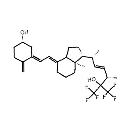 C=C1CC[C@H](O)CC1=CC=C1CCC[C@@]2(C)C1CC[C@@H]2[C@H](C)/C=C/[C@H](C)C(O)(C(F)(F)F)C(F)(F)F